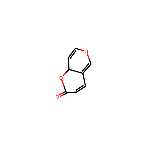 O=C1C=CC2=COC=CC2O1